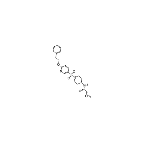 C=CC(=O)NC1CCN(S(=O)(=O)c2ccc(OCCc3ccccc3)nc2)CC1